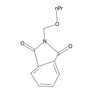 CCCOCN1C(=O)c2ccccc2C1=O